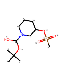 CC(C)(C)OC(O)N1CCCC(OS(C)(=O)=O)C1